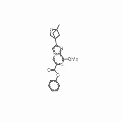 COc1nc(C(=O)Oc2ccccc2)cn2cc(C34COC(C)(C3)C4)nc12